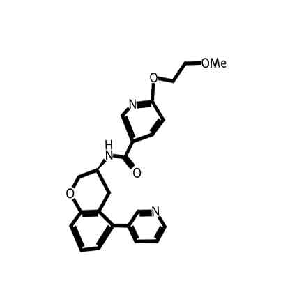 COCCOc1ccc(C(=O)N[C@@H]2COc3cccc(-c4cccnc4)c3C2)cn1